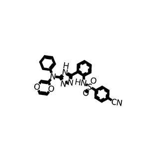 N#Cc1ccc(S(=O)(=O)Nc2ccccc2-c2nnc(N(C3=CC=CCC3)C3=COC=CO3)[nH]2)cc1